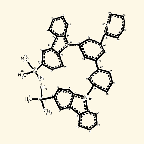 C[Si](C)(C)c1ccc2c(c1)c1ccccc1n2-c1cccc(-c2cc(-c3ccccc3)cc(-n3c4ccccc4c4cc([Si](C)(C)C)ccc43)c2)c1